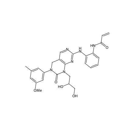 C=CC(=O)Nc1ccccc1Nc1ncc2c(n1)N(CC(O)CO)C(=O)N(c1cc(C)cc(OC)c1)C2